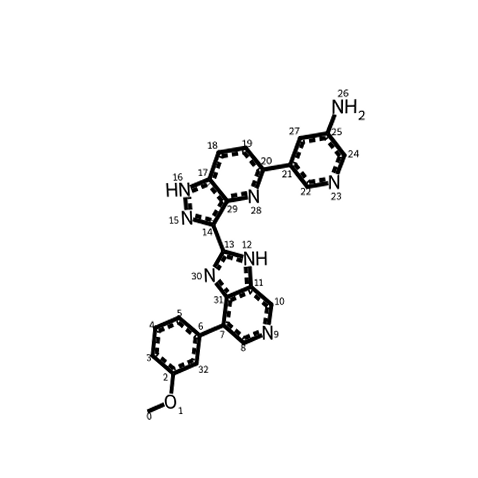 COc1cccc(-c2cncc3[nH]c(-c4n[nH]c5ccc(-c6cncc(N)c6)nc45)nc23)c1